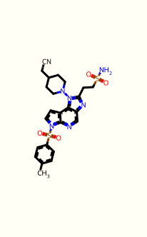 Cc1ccc(S(=O)(=O)n2ccc3c2ncc2nc(CCS(N)(=O)=O)n(N4CCC(CC#N)CC4)c23)cc1